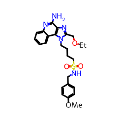 CCOCc1nc2c(N)nc3ccccc3c2n1CCCCS(=O)(=O)NCc1ccc(OC)cc1